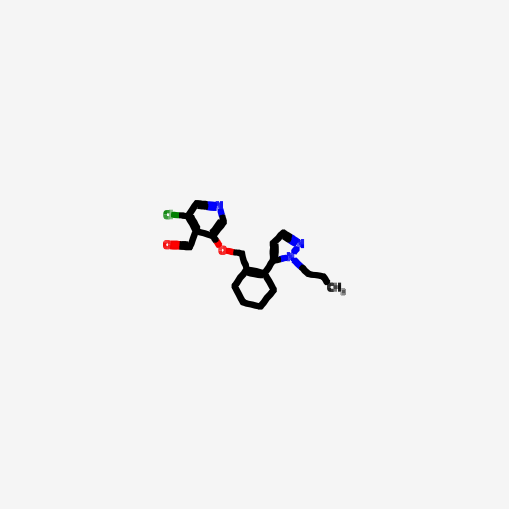 CCCn1nccc1C1=C(COc2cncc(Cl)c2C=O)CCCC1